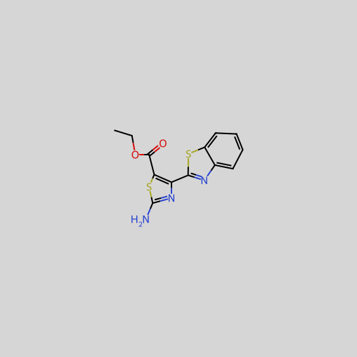 CCOC(=O)c1sc(N)nc1-c1nc2ccccc2s1